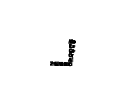 [Al].[C].[Co].[Cr].[Cu].[Mn].[Mo].[Ni].[Si].[Zn]